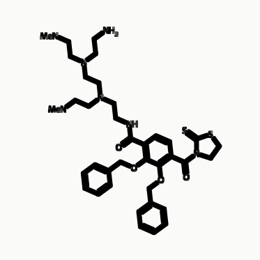 CNCCN(CCN)CCN(CCNC)CCNC(=O)c1ccc(C(=O)N2CCSC2=S)c(OCc2ccccc2)c1OCc1ccccc1